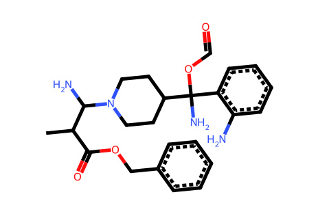 CC(C(=O)OCc1ccccc1)C(N)N1CCC(C(N)(OC=O)c2ccccc2N)CC1